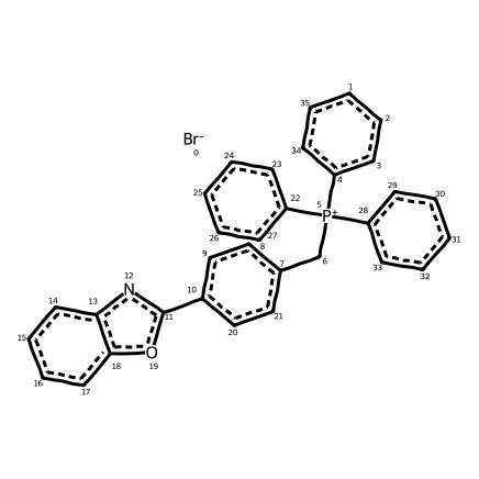 [Br-].c1ccc([P+](Cc2ccc(-c3nc4ccccc4o3)cc2)(c2ccccc2)c2ccccc2)cc1